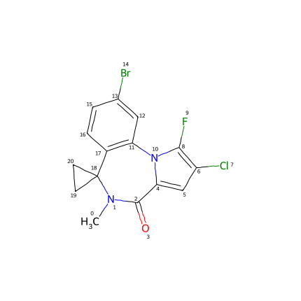 CN1C(=O)c2cc(Cl)c(F)n2-c2cc(Br)ccc2C12CC2